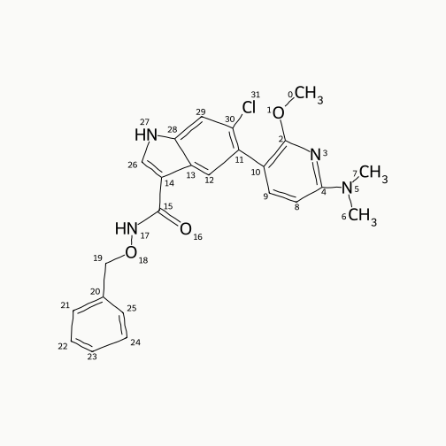 COc1nc(N(C)C)ccc1-c1cc2c(C(=O)NOCc3ccccc3)c[nH]c2cc1Cl